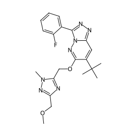 COCc1nc(COc2nn3c(-c4ccccc4F)nnc3cc2C(C)(C)C)n(C)n1